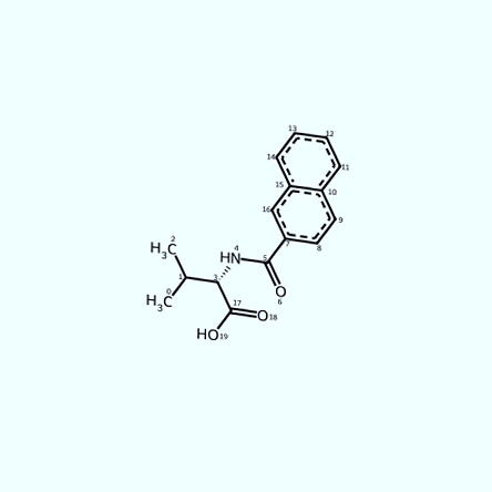 CC(C)[C@H](NC(=O)c1ccc2ccccc2c1)C(=O)O